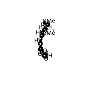 CNC(=O)c1ccccc1Nc1cc(Nc2ccc(CNC3CCN(c4ccc5c(c4)C(=O)N(C4CCC(=O)NC4=O)C5=O)CC3)cc2OC)ncc1C(F)(F)F